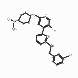 CN(C)[C@H]1CC[C@H](Nc2cc(-c3cccc(NCc4cccc(F)c4)n3)c(Cl)cn2)CC1